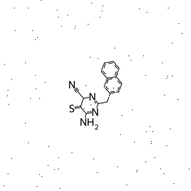 N#CC1N=C(Cc2ccc3ccccc3c2)N=C(N)C1=S